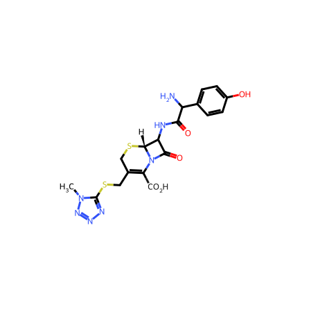 Cn1nnnc1SCC1=C(C(=O)O)N2C(=O)C(NC(=O)C(N)c3ccc(O)cc3)[C@H]2SC1